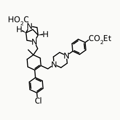 CCOC(=O)c1ccc(N2CCN(CC3=C(c4ccc(Cl)cc4)CCC(C)(CN4C[C@H]5C[C@@H]4CN5C(=O)O)C3)CC2)cc1